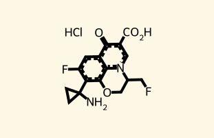 Cl.NC1(c2c(F)cc3c(=O)c(C(=O)O)cn4c3c2OCC4CF)CC1